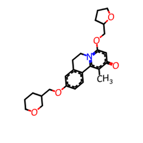 Cc1c2n(c(OCC3CCCO3)cc1=O)CCc1cc(OCC3CCCOC3)ccc1-2